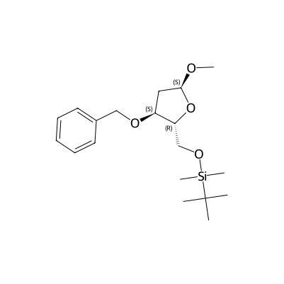 CO[C@@H]1C[C@H](OCc2ccccc2)[C@@H](CO[Si](C)(C)C(C)(C)C)O1